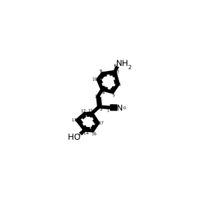 N#C/C(=C\c1ccc(N)cc1)c1ccc(O)cc1